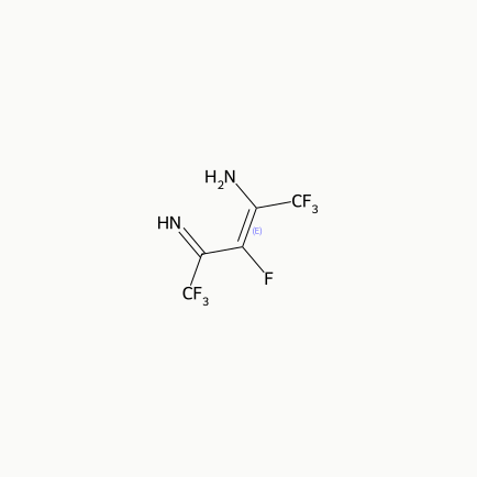 N=C(/C(F)=C(\N)C(F)(F)F)C(F)(F)F